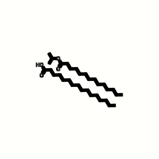 CCCCCCCCCCCCCC(=O)OC(C)C.CCCCCCCCCCCCCCCC(=O)O